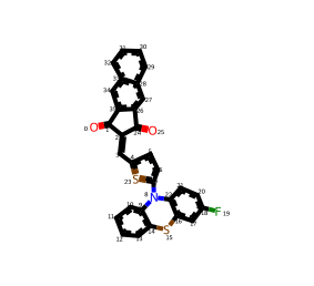 O=C1C(=Cc2ccc(N3c4ccccc4Sc4cc(F)ccc43)s2)C(=O)c2cc3ccccc3cc21